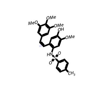 COc1cc(NS(=O)(=O)c2ccc(C)cc2)c(/C=C\c2cc(OC)c(OC)c(OC)c2)cc1O